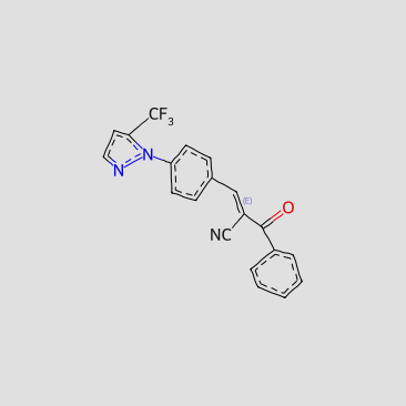 N#C/C(=C\c1ccc(-n2nccc2C(F)(F)F)cc1)C(=O)c1ccccc1